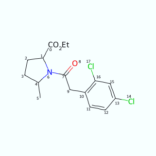 CCOC(=O)C1CCC(C)N1C(=O)Cc1ccc(Cl)cc1Cl